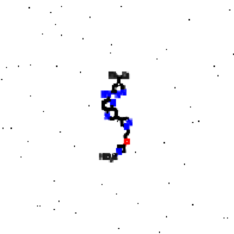 CCC(CC)c1cnnc(Nc2ccc3ncc(-c4cnn(CCOC5CN(C(=O)O)C5)c4)cc3n2)c1